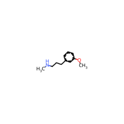 CNCCCc1cccc(OC)c1